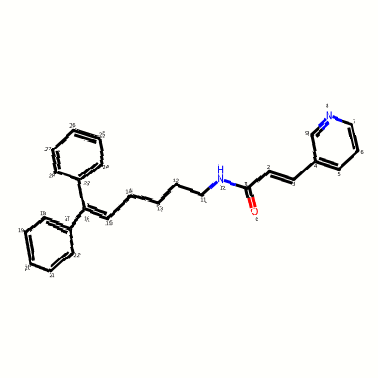 O=C(C=Cc1cccnc1)NCCCCC=C(c1ccccc1)c1ccccc1